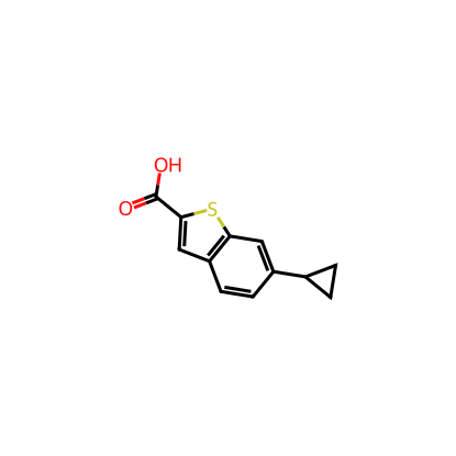 O=C(O)c1cc2ccc(C3CC3)cc2s1